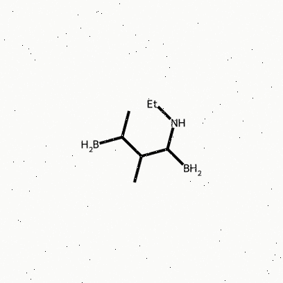 BC(C)C(C)C(B)NCC